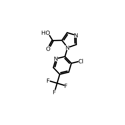 O=C(O)c1cncn1-c1ncc(C(F)(F)F)cc1Cl